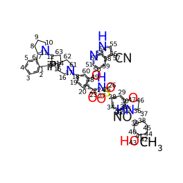 CC(C)c1ccccc1[C@H]1CCCN1C1CC2(CCN(c3ccc(C(=O)NS(=O)(=O)c4cc5c(c([N+](=O)[O-])c4)N[C@@H](C[C@H]4CC[C@](C)(O)CC4)CO5)c(Oc4cnc5[nH]cc(C#N)c5c4)c3)CC2)C1